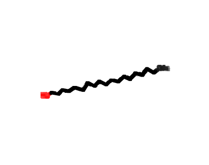 CC(=O)OCCCCCCCCCCCCCCCCCCO